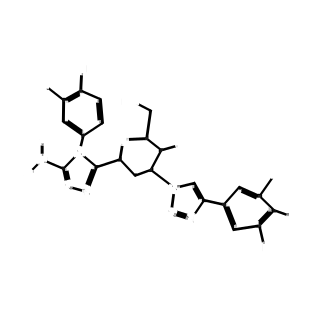 C[S+]([O-])c1nnc(C2CC(n3cc(-c4cc(F)c(F)c(F)c4)nn3)C(O)C(CO)O2)n1-c1ccc(Cl)c(Cl)c1